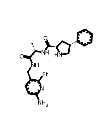 CCc1nc(N)ccc1CNC(=O)[C@H](C)NC(=O)[C@H]1C[C@H](c2ccccc2)CN1